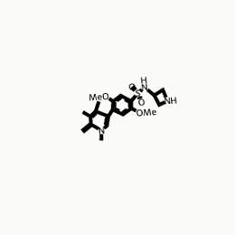 C=C1C(C)=C(C)C(c2cc(OC)c(S(=O)(=O)NC3CNC3)cc2OC)=CN1C